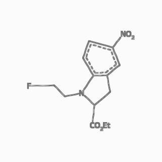 CCOC(=O)C1Cc2cc([N+](=O)[O-])ccc2N1CCF